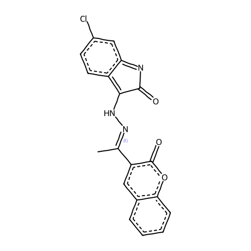 C/C(=N\NC1=c2ccc(Cl)cc2=NC1=O)c1cc2ccccc2oc1=O